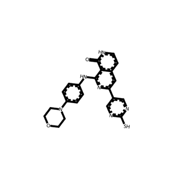 O=c1[nH]ccc2cc(-c3cnc(S)nc3)nc(Nc3ccc(N4CCOCC4)cc3)c12